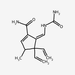 C=CC1(C=C)C(=CNC(N)=O)C(C(N)=O)=CC1C